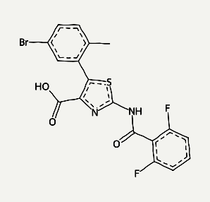 Cc1ccc(Br)cc1-c1sc(NC(=O)c2c(F)cccc2F)nc1C(=O)O